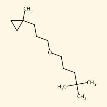 CC(C)(C)CCCOCCCC1(C)CC1